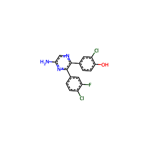 Nc1cnc(-c2ccc(O)c(Cl)c2)c(-c2ccc(Cl)c(F)c2)n1